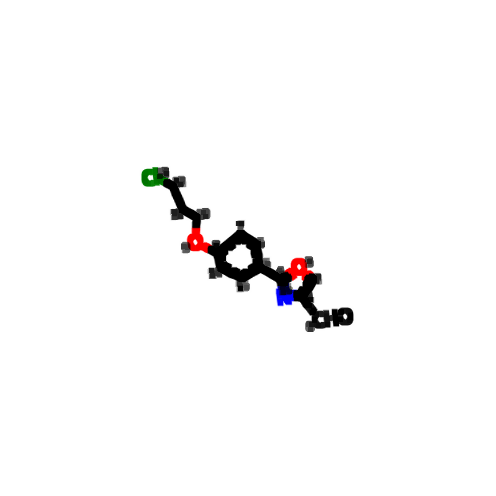 O=Cc1coc(-c2ccc(OCCCCl)cc2)n1